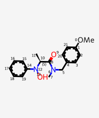 COc1ccc(CN(C)C(=O)[C@H](C)N(O)c2ccccc2)cc1